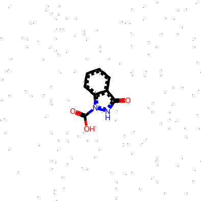 O=C(O)n1[nH]c(=O)c2ccccc21